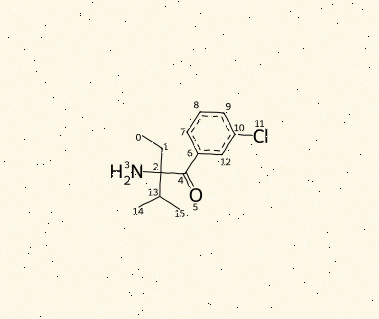 CCC(N)(C(=O)c1cccc(Cl)c1)C(C)C